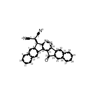 N#CC(C#N)=C1c2cc3ccccc3cc2-c2c1nnc1c2C(=O)c2cc3ccccc3cc2-1